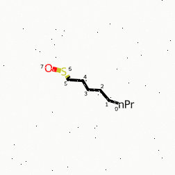 CCCCCC[CH]C=S=O